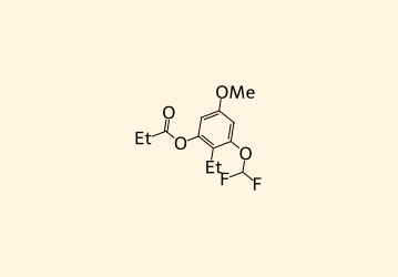 CCC(=O)Oc1cc(OC)cc(OC(F)F)c1CC